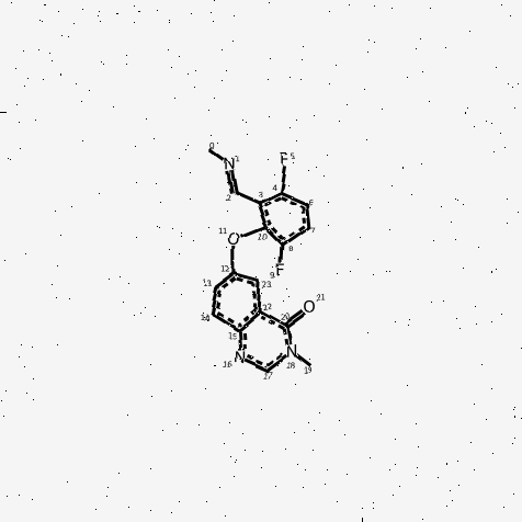 CN=Cc1c(F)ccc(F)c1Oc1ccc2ncn(C)c(=O)c2c1